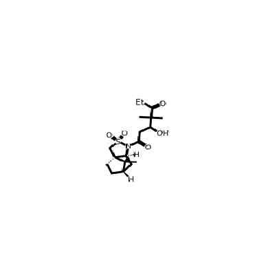 CCC(=O)C(C)(C)C(O)CC(=O)N1[C@H]2C[C@@H]3CC[C@@]2(CS1(=O)=O)C3(C)C